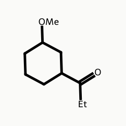 CCC(=O)C1CCCC(OC)C1